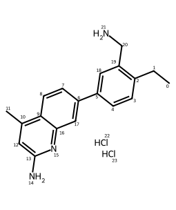 CCc1ccc(-c2ccc3c(C)cc(N)nc3c2)cc1CN.Cl.Cl